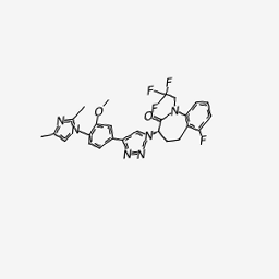 COc1cc(-c2cn([C@@H]3CCc4c(F)cccc4N(CC(F)(F)F)C3=O)nn2)ccc1-n1cc(C)nc1C